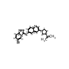 CN(C)C1CCN(c2cnc3ccc(Sc4nnc5ccc(Br)cn45)cc3c2)C1